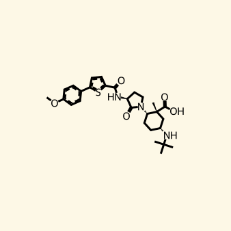 COc1ccc(-c2ccc(C(=O)N[C@H]3CCN([C@H]4CC[C@@H](NC(C)(C)C)C[C@@]4(C)C(=O)O)C3=O)s2)cc1